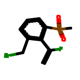 C=C(F)c1c(CBr)cccc1S(C)(=O)=O